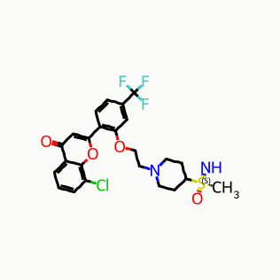 C[S@](=N)(=O)C1CCN(CCOc2cc(C(F)(F)F)ccc2-c2cc(=O)c3cccc(Cl)c3o2)CC1